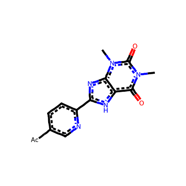 CC(=O)c1ccc(-c2nc3c([nH]2)c(=O)n(C)c(=O)n3C)nc1